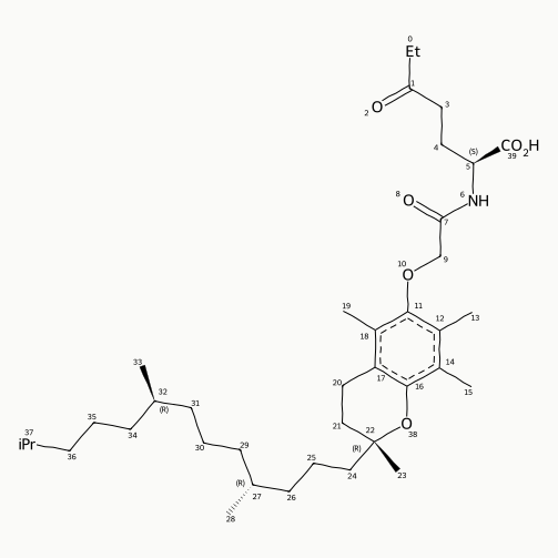 CCC(=O)CC[C@H](NC(=O)COc1c(C)c(C)c2c(c1C)CC[C@@](C)(CCC[C@H](C)CCC[C@H](C)CCCC(C)C)O2)C(=O)O